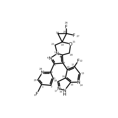 Fc1ccc(-c2nn3c(c2-c2c(F)cnc4[nH]ncc24)COC2(C3)CC2(F)F)nc1